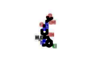 CC1(C2CCN(C(=O)NCC3(O)COC3)CC2)[C@H](O)c2cc(Cl)cc3cnn1c23